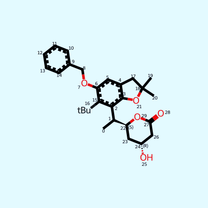 CC(c1c2c(cc(OCc3ccccc3)c1C(C)(C)C)CC(C)(C)O2)[C@@H]1C[C@@H](O)CC(=O)O1